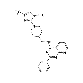 Cn1cc(C(F)(F)F)nc1N1CCC(CNc2nc(-c3ccccc3)nc3ncccc23)CC1